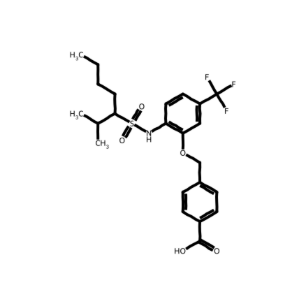 CCCCC(C(C)C)S(=O)(=O)Nc1ccc(C(F)(F)F)cc1OCc1ccc(C(=O)O)cc1